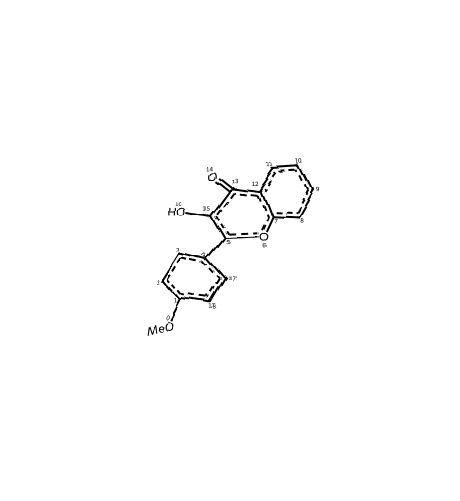 COc1ccc(-c2oc3ccccc3c(=O)c2O)cc1